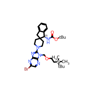 CC(C)(C)OC(=O)N[C@@H]1c2ccccc2CC12CCN(c1nc3nc(Br)cnc3n1COCC[Si](C)(C)C(C)(C)C)CC2